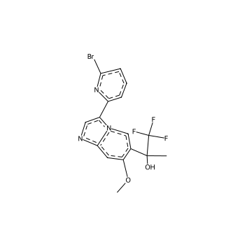 COc1cc2ncc(-c3cccc(Br)n3)n2cc1C(C)(O)C(F)(F)F